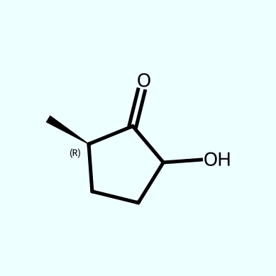 C[C@@H]1CCC(O)C1=O